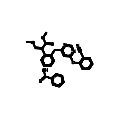 COC=C(C(=O)OC)c1ccccc1Cc1cc(Oc2ccccc2C#N)ncn1.O=C(O)c1ccccc1